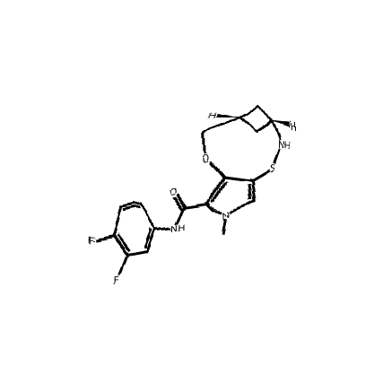 Cn1cc2c(c1C(=O)Nc1ccc(F)c(F)c1)OC[C@H]1C[C@H](C1)NS2